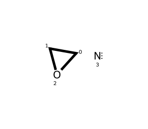 C1CO1.[N]